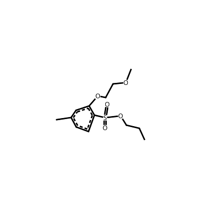 CCCOS(=O)(=O)c1ccc(C)cc1OCCOC